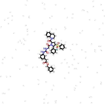 O=C(NCC(=O)N1C(C(=O)N2CCCc3ccccc32)CC(S(=O)(=O)c2ccccc2)C1c1ccccc1F)Nc1cccc(CC(=O)OCc2ccccc2)c1